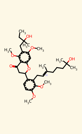 CCC(C)(O)Cc1c(OC)cc2c(c1OC)C(=O)CC(c1ccc(OC)c(OC)c1C/C=C(\C)CCCC(C)(C)O)O2